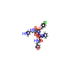 CS(=O)(=O)N[C@H](CCC1CCNCC1)C(=O)N1C[C@H](OCc2ccc(Cl)cc2)C[C@H]1C(=O)N[C@@H](CC1CCCCC1)C(=O)C(=O)NCCC1CCOCC1